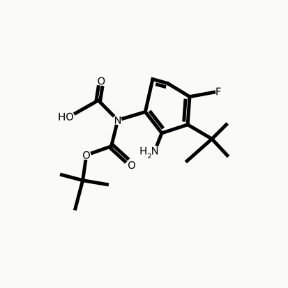 CC(C)(C)OC(=O)N(C(=O)O)c1ccc(F)c(C(C)(C)C)c1N